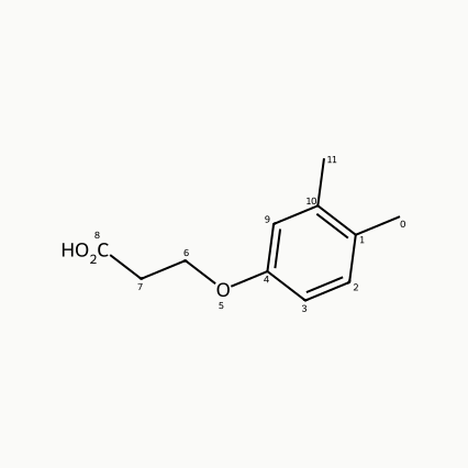 Cc1ccc(OCCC(=O)O)cc1C